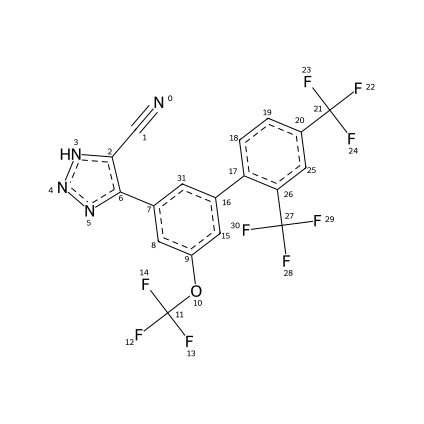 N#Cc1[nH]nnc1-c1cc(OC(F)(F)F)cc(-c2ccc(C(F)(F)F)cc2C(F)(F)F)c1